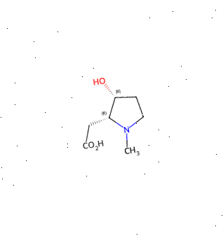 CN1CC[C@@H](O)[C@H]1CC(=O)O